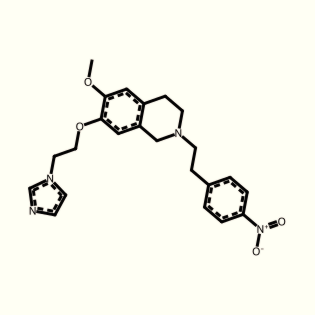 COc1cc2c(cc1OCCn1ccnc1)CN(CCc1ccc([N+](=O)[O-])cc1)CC2